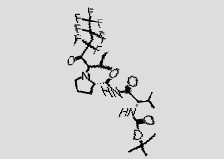 CC(C)C(C(=O)C(F)(F)C(F)(F)C(F)(F)F)N1CCC[C@H]1C(=O)NC(=O)[C@@H](NC(=O)OC(C)(C)C)C(C)C